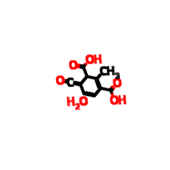 CC1=C(C(=O)O)C=CC(=C=O)C1C(=O)O.O